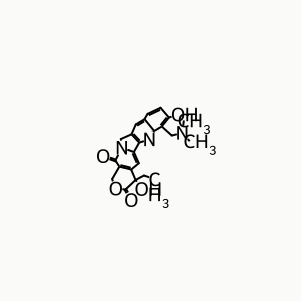 CCC1(O)C(=O)OCc2c1cc1n(c2=O)Cc2cc3ccc(O)c(CN(C)C)c3nc2-1